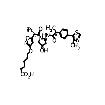 Cc1ncsc1-c1ccc([C@H](C)C(=O)N[C@@H]2C[C@@H](O)CN2C(=O)[C@H](c2cc(OCCCCCC(=O)O)no2)C(C)C)cc1